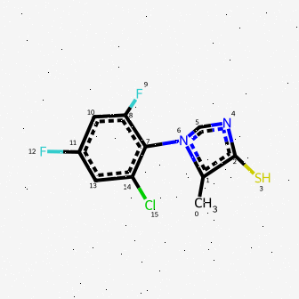 Cc1c(S)ncn1-c1c(F)cc(F)cc1Cl